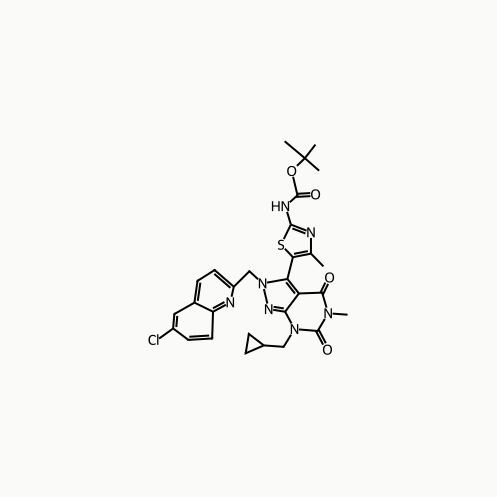 Cc1nc(NC(=O)OC(C)(C)C)sc1-c1c2c(=O)n(C)c(=O)n(CC3CC3)c2nn1Cc1ccc2cc(Cl)ccc2n1